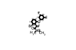 CON(C)C(=O)C(F)c1c(Br)cccc1Oc1cc(F)cc(F)c1